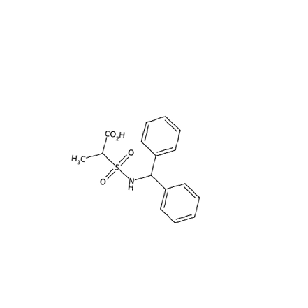 CC(C(=O)O)S(=O)(=O)NC(c1ccccc1)c1ccccc1